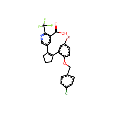 O=C(O)c1cc(C2=C(c3cc(Br)ccc3OCc3ccc(Cl)cc3)CCC2)cnc1C(F)(F)F